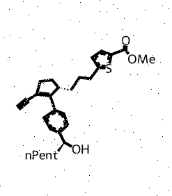 C#CC1=C(c2ccc([C@@H](O)CCCCC)cc2)[C@@H](CCCc2ccc(C(=O)OC)s2)CC1